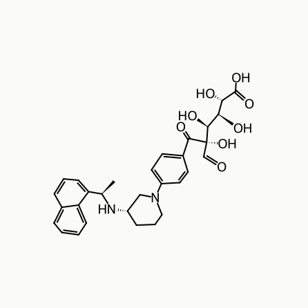 C[C@@H](N[C@H]1CCCN(c2ccc(C(=O)[C@](O)(C=O)[C@@H](O)[C@H](O)[C@H](O)C(=O)O)cc2)C1)c1cccc2ccccc12